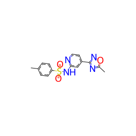 Cc1ccc(S(=O)(=O)Nc2cc(-c3noc(C)n3)ccn2)cc1